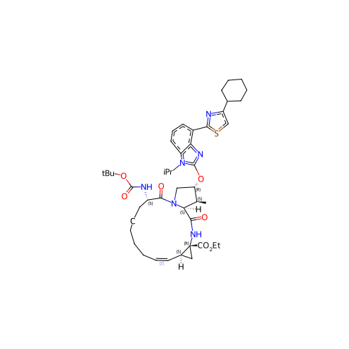 CCOC(=O)[C@@]12C[C@H]1/C=C\CCCCC[C@H](NC(=O)OC(C)(C)C)C(=O)N1C[C@H](Oc3nc4c(-c5nc(C6CCCCC6)cs5)cccc4n3C(C)C)[C@@H](C)[C@H]1C(=O)N2